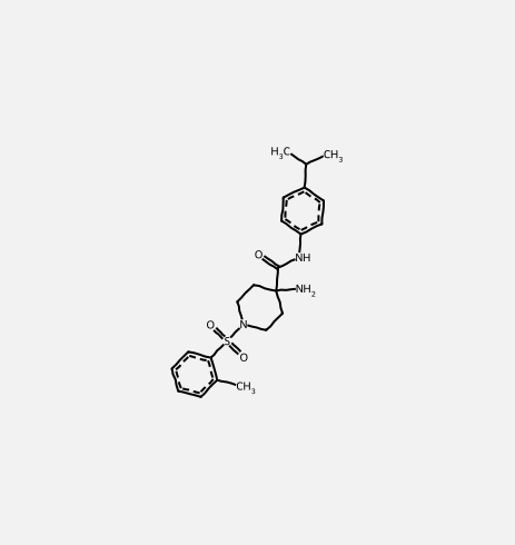 Cc1ccccc1S(=O)(=O)N1CCC(N)(C(=O)Nc2ccc(C(C)C)cc2)CC1